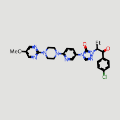 CCC(C(=O)c1ccc(Cl)cc1)n1ncn(-c2ccc(N3CCN(c4ncc(OC)cn4)CC3)nc2)c1=O